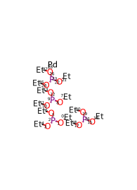 CCOP(OCC)OCC.CCOP(OCC)OCC.CCOP(OCC)OCC.CCOP(OCC)OCC.[Pd]